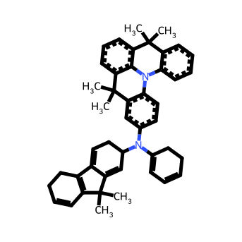 CC1(C)C2=CC(N(C3=CC=CCC3)c3ccc4c(c3)C(C)(C)c3cccc5c3N4c3ccccc3C5(C)C)CC=C2C2=C1C=CCC2